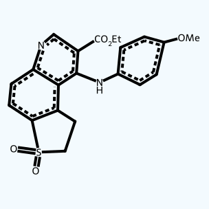 CCOC(=O)c1cnc2ccc3c(c2c1Nc1ccc(OC)cc1)CCS3(=O)=O